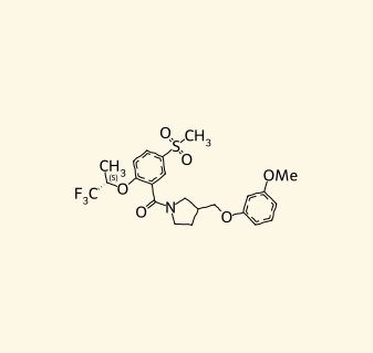 COc1cccc(OCC2CCN(C(=O)c3cc(S(C)(=O)=O)ccc3O[C@@H](C)C(F)(F)F)C2)c1